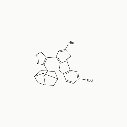 CC(C)(C)c1ccc2c(c1)-c1cc(C(C)(C)C)cc(C3=C(C45CC6CC(CC(C6)C4)C5)C=CC3)c1[CH]2